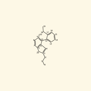 CCCC1=Cc2c(ccc(C)c2-c2ccccc2CC)[CH]1